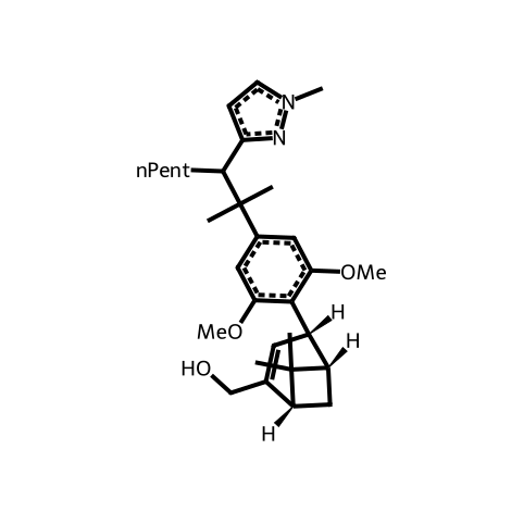 CCCCCC(c1ccn(C)n1)C(C)(C)c1cc(OC)c([C@H]2C=C(CO)[C@H]3C[C@@H]2C3(C)C)c(OC)c1